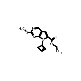 CCOC(=O)c1cc2cnc(SC)nc2n1C12CC(C1)C2